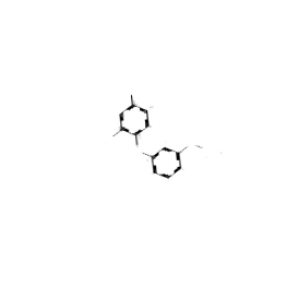 COc1cccc(Oc2ccc(I)cc2F)c1